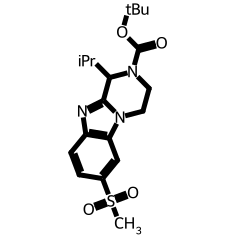 CC(C)C1c2nc3ccc(S(C)(=O)=O)cc3n2CCN1C(=O)OC(C)(C)C